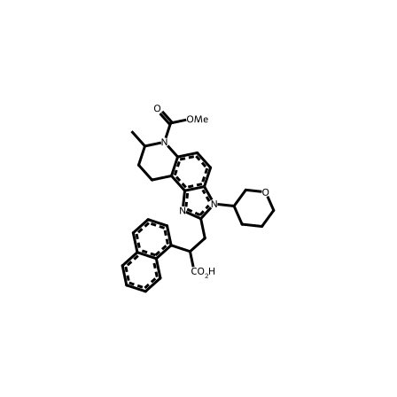 COC(=O)N1c2ccc3c(nc(CC(C(=O)O)c4cccc5ccccc45)n3C3CCCOC3)c2CCC1C